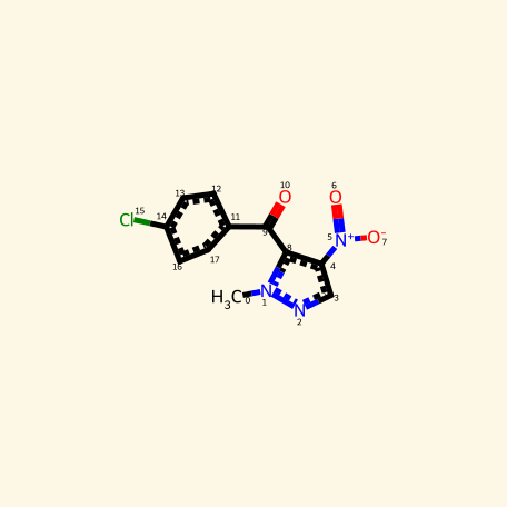 Cn1ncc([N+](=O)[O-])c1C(=O)c1ccc(Cl)cc1